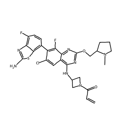 C=CC(=O)N1CC(Nc2nc(OCC3CCCN3C)nc3c(F)c(-c4ccc(F)c5nc(N)sc45)c(Cl)cc23)C1